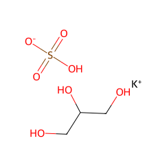 O=S(=O)([O-])O.OCC(O)CO.[K+]